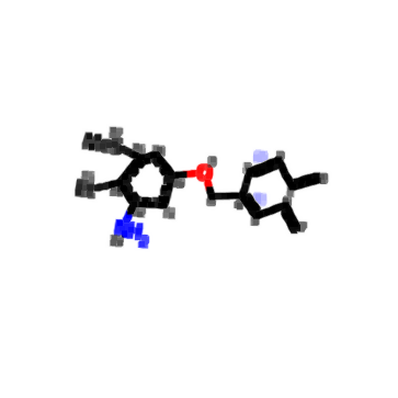 C=C/C=C\C(=C/C=C)COc1cc(N)c(CC)c(SC)c1